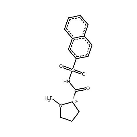 O=C(NS(=O)(=O)c1ccc2ccccc2c1)[C@@H]1CCCN1P